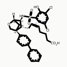 O=C(O)CCC/C=C\C[C@H]1[C@H](NS(=O)(=O)c2cc(Cl)cc(Cl)c2O)[C@@H]2C[C@@]1(c1ccc(-c3ccccc3)cc1)CO2